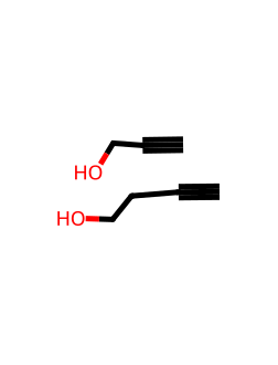 C#CCCO.C#CCO